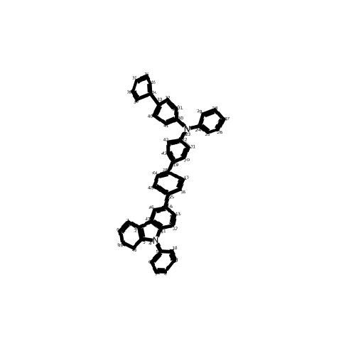 C1=Cc2c(n(-c3ccccc3)c3ccc(-c4ccc(-c5ccc(N(c6ccccc6)c6ccc(-c7ccccc7)cc6)cc5)cc4)cc23)CC1